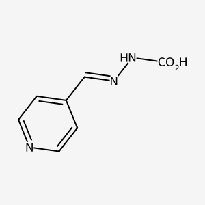 O=C(O)NN=Cc1ccncc1